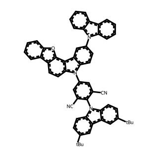 CC(C)(C)c1ccc2c(c1)c1cc(C(C)(C)C)ccc1n2-c1c(C#N)cc(-n2c3ccc(-n4c5ccccc5c5ccccc54)cc3c3c4oc5ccccc5c4ccc32)cc1C#N